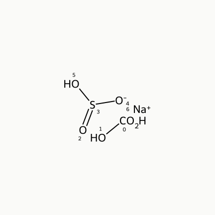 O=C(O)O.O=S([O-])O.[Na+]